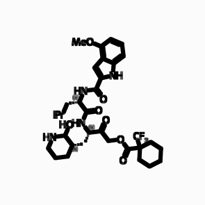 COc1cccc2[nH]c(C(=O)N[C@@H](CC(C)C)C(=O)N[C@@H](C[C@@H]3CCCNC3O)C(=O)COC(=O)C3(C(F)(F)F)CCCCC3)cc12